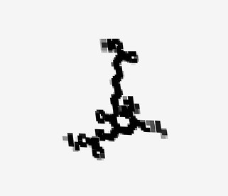 CC(=O)SCC(CC(C)C)C(=O)NCCCCCC(=O)O